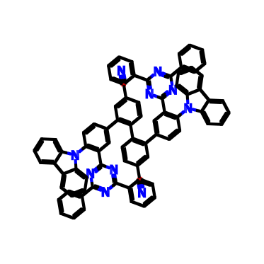 N#Cc1ccc(-c2ccc(C#N)cc2-c2ccc(-n3c4ccccc4c4ccccc43)c(-c3nc(-c4ccccc4)nc(-c4ccccc4)n3)c2)c(-c2ccc(-n3c4ccccc4c4ccccc43)c(-c3nc(-c4ccccc4)nc(-c4ccccc4)n3)c2)c1